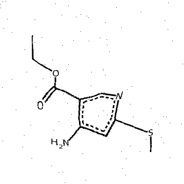 CCOC(=O)c1cnc(SC)cc1N